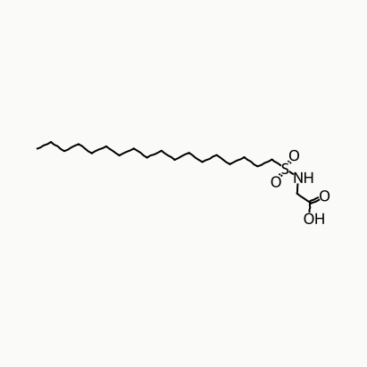 CCCCCCCCCCCCCCCCCCS(=O)(=O)NCC(=O)O